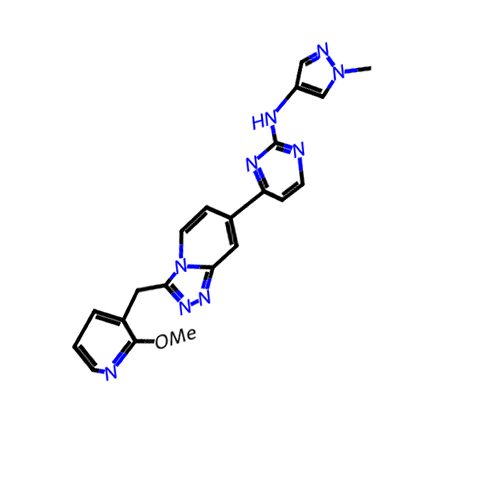 COc1ncccc1Cc1nnc2cc(-c3ccnc(Nc4cnn(C)c4)n3)ccn12